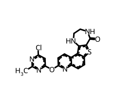 Cc1nc(Cl)cc(Oc2ccc3c(ccc4sc5c(c43)NCCNC5=O)n2)n1